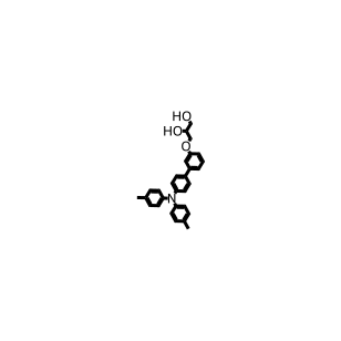 Cc1ccc(N(c2ccc(C)cc2)c2ccc(-c3cccc(OCC(O)CO)c3)cc2)cc1